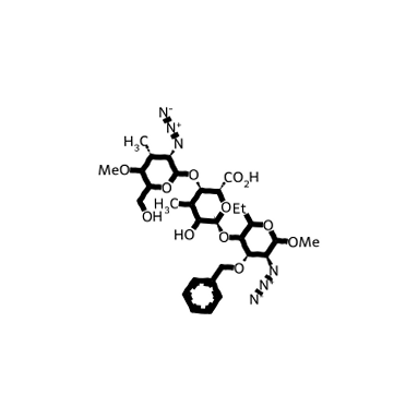 CCC1OC(OC)[C@@H](N=[N+]=[N-])[C@H](OCc2ccccc2)C1O[C@@H]1O[C@@H](C(=O)O)[C@@H](OC2OC(CO)C(OC)[C@H](C)[C@@H]2N=[N+]=[N-])C(C)C1O